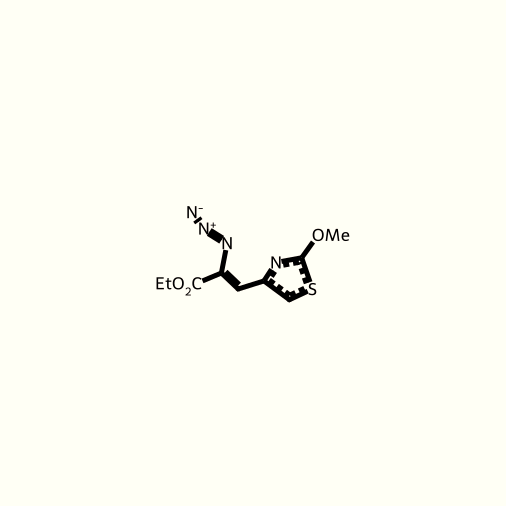 CCOC(=O)C(=Cc1csc(OC)n1)N=[N+]=[N-]